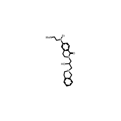 CCN(CCNC)c1ccc2c(c1)CCN(CC(O)CN1CCc3ccccc3C1)C2=O